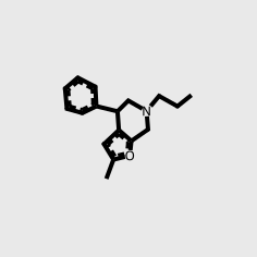 CCCN1Cc2oc(C)cc2C(c2ccccc2)C1